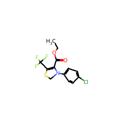 CCOC(=O)C1=C(C(F)(F)F)SCN1c1ccc(Cl)cc1